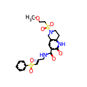 COCCS(=O)(=O)N1CCc2[nH]c(=O)c(C(=O)NC/C=C/S(=O)(=O)c3ccccc3)cc2C1